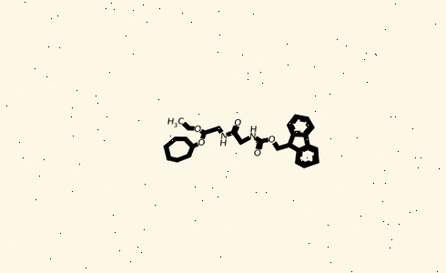 CCOC(CNC(=O)CNC(=O)OCC1c2ccccc2-c2ccccc21)OC1CCCCCC1